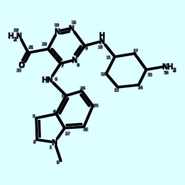 Cn1ccc2c(Nc3nc(NC4CCCC(N)C4)nnc3C(N)=O)cccc21